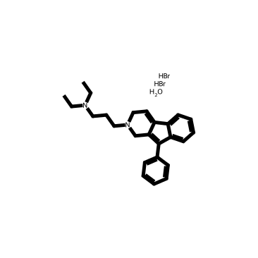 Br.Br.CCN(CC)CCCN1CC=C2C(=C(c3ccccc3)c3ccccc32)C1.O